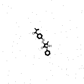 C=C(C)C(=O)c1ccc(N=Nc2c(C)[nH]n(-c3ccccc3)c2=O)cc1